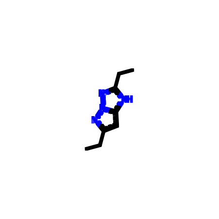 CCc1cc2[nH]c(CC)nn2n1